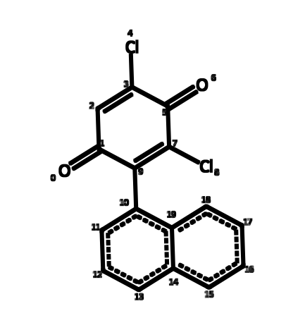 O=C1C=C(Cl)C(=O)C(Cl)=C1c1cccc2ccccc12